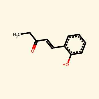 CCC(=O)C=Cc1ccccc1O